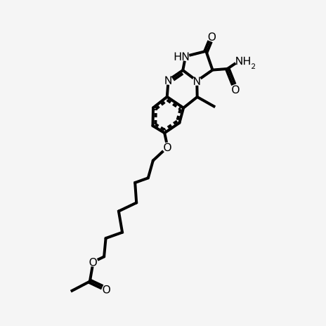 CC(=O)OCCCCCCCCOc1ccc2c(c1)C(C)N1C(=N2)NC(=O)C1C(N)=O